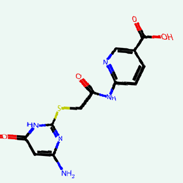 Nc1cc(=O)[nH]c(SCC(=O)Nc2ccc(C(=O)O)cn2)n1